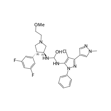 COCCN1C[C@@H](NC(O)Nc2c(Cl)c(-c3cnn(C)c3)nn2-c2ccccc2)[C@H](c2cc(F)cc(F)c2)C1